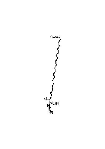 CCCCCCCCCCCCCCCCCCCCCCCCCCCCCC(=O)N(O)N=C=O